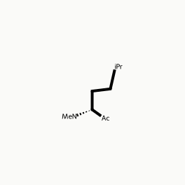 CN[C@H](CCC(C)C)C(C)=O